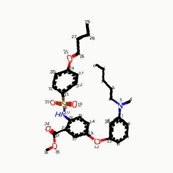 CCCCCN(C)c1cccc(Oc2ccc(NS(=O)(=O)c3ccc(OCCCC)cc3)c(C(=O)OC)c2)c1